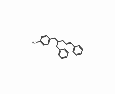 Cc1ccc(CC(CC=Cc2ccccc2)Cc2ccccc2)cc1